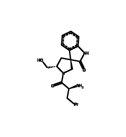 CC(C)C[C@H](N)C(=O)N1C[C@]2(C[C@H]1CO)C(=O)Nc1ccccc12